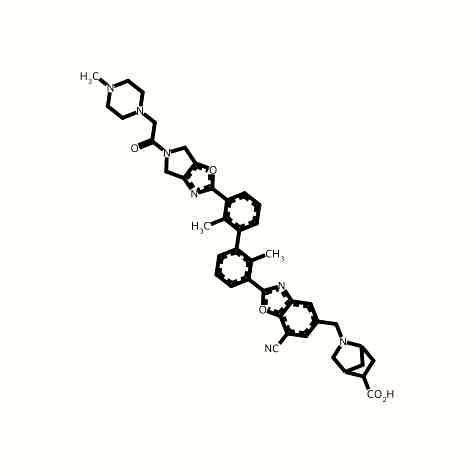 Cc1c(-c2nc3c(o2)CN(C(=O)CN2CCN(C)CC2)C3)cccc1-c1cccc(-c2nc3cc(CN4CC5CC4CC5C(=O)O)cc(C#N)c3o2)c1C